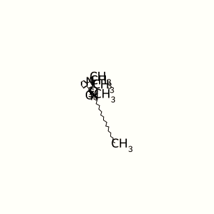 CCCCCCCCCCCCCCCCCCN(C)S(=O)(=O)CC1=CC(C)(C)N(CC)c2ccccc21